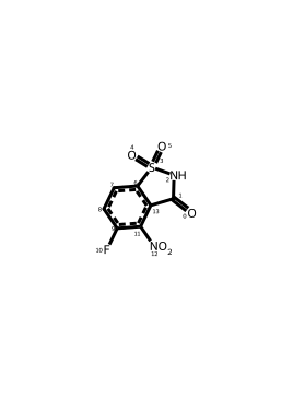 O=C1NS(=O)(=O)c2ccc(F)c([N+](=O)[O-])c21